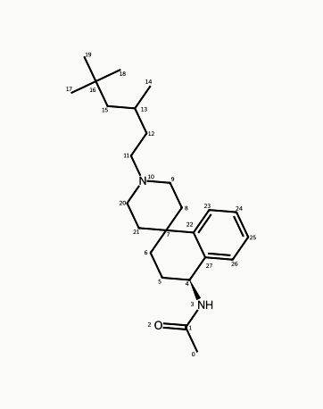 CC(=O)N[C@H]1CCC2(CCN(CCC(C)CC(C)(C)C)CC2)c2ccccc21